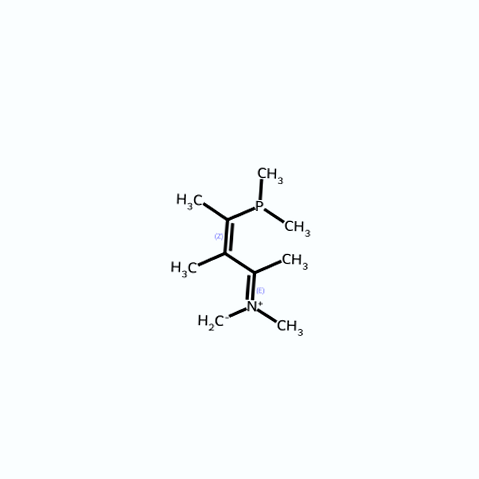 [CH2-]/[N+](C)=C(C)\C(C)=C(\C)P(C)C